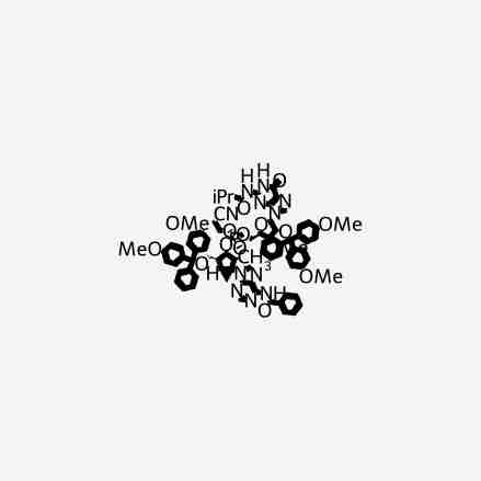 COc1ccc(C(OC[C@@H]2[C@@H](OP(=O)(OCCC#N)OC[C@H]3O[C@@H](n4cnc5c(=O)[nH]c(NC(=O)C(C)C)nc54)[C@H](OC(c4ccccc4)(c4ccc(OC)cc4)c4ccc(OC)cc4)[C@@H]3OC)[C@@H](C)C3(n4cnc5c(NC(=O)c6ccccc6)ncnc54)C[C@@H]23)(c2ccccc2)c2ccc(OC)cc2)cc1